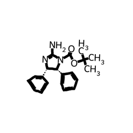 CC(C)(C)OC(=O)N1C(N)=N[C@@H](c2ccccc2)[C@H]1c1ccccc1